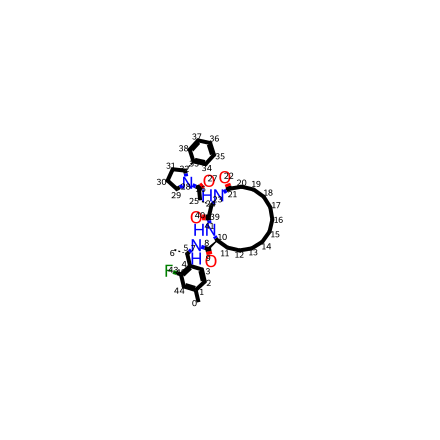 Cc1ccc([C@H](C)NC(=O)[C@@H]2CCCCCCCCCCC(=O)N[C@@H](CC(=O)N3CCC[C@@H]3c3ccccc3)C(=O)N2)c(F)c1